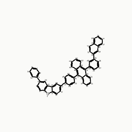 c1ccc(-c2ccc3oc4ccc(-c5ccc(-c6c7ccccc7c(-c7cccc(-c8ccc9ccccc9c8)c7)c7ccccc67)cc5)cc4c3c2)cc1